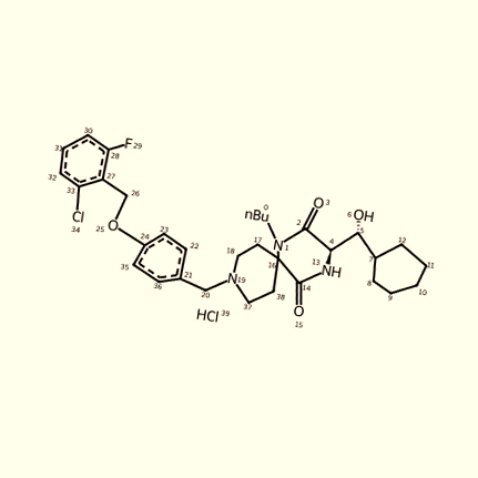 CCCCN1C(=O)[C@@H]([C@H](O)C2CCCCC2)NC(=O)C12CCN(Cc1ccc(OCc3c(F)cccc3Cl)cc1)CC2.Cl